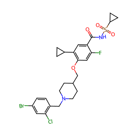 O=C(NS(=O)(=O)C1CC1)c1cc(C2CC2)c(OCC2CCN(Cc3ccc(Br)cc3Cl)CC2)cc1F